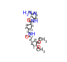 COc1ccc(C=CC(=O)NCc2ccc(C(=O)Nc3ccnc(N)c3)cc2)cc1OC